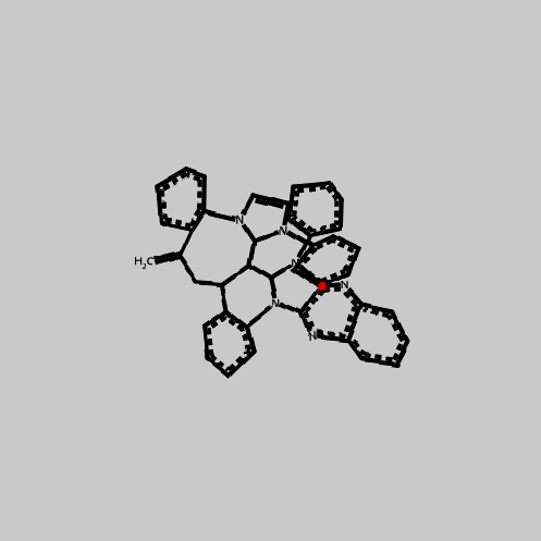 C=C1CC2c3ccccc3N3c4nc5ccccc5nc4N(c4ccccc4)C3C2C2N(c3ccccc3)C=CN2c2ccccc21